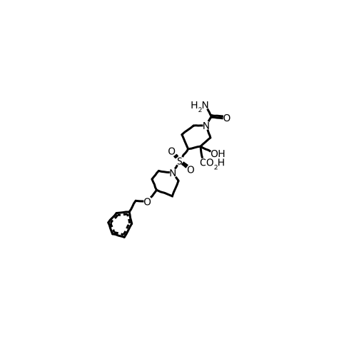 NC(=O)N1CCC(S(=O)(=O)N2CCC(OCc3ccccc3)CC2)C(O)(C(=O)O)C1